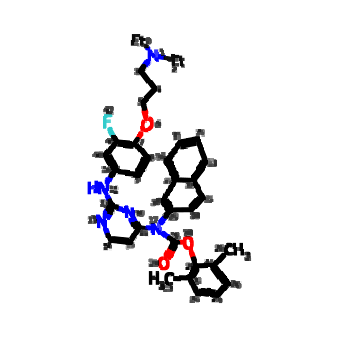 CCN(CC)CCCOc1ccc(Nc2nccc(N(C(=O)Oc3c(C)cccc3C)c3ccc4ccccc4c3)n2)cc1F